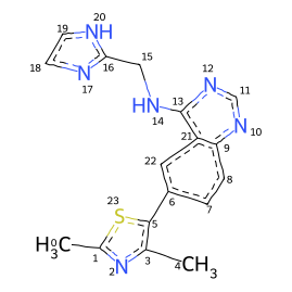 Cc1nc(C)c(-c2ccc3ncnc(NCc4ncc[nH]4)c3c2)s1